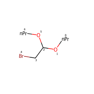 CCCOC(CBr)OCCC